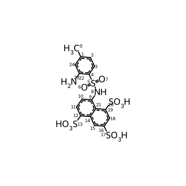 Cc1ccc(S(=O)(=O)Nc2ccc(S(=O)(=O)O)c3cc(S(=O)(=O)O)cc(S(=O)(=O)O)c23)c(N)c1